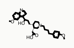 COc1ccc(CCCCN2CC[C@@H](CCC(O)c3ccnc4ccc(OC)cc34)[C@@H](CC(=O)O)C2)cc1